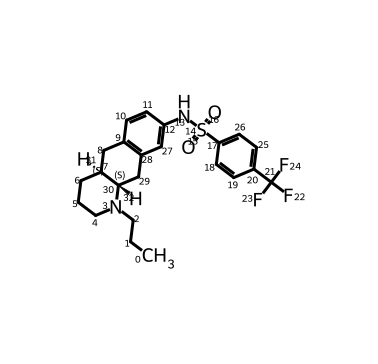 CCCN1CCC[C@H]2Cc3ccc(NS(=O)(=O)c4ccc(C(F)(F)F)cc4)cc3C[C@@H]21